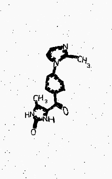 Cc1[nH]c(=O)[nH]c1C(=O)c1ccc(-n2ccnc2C)cc1